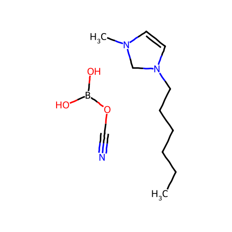 CCCCCCN1C=CN(C)C1.N#COB(O)O